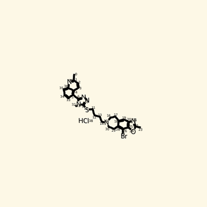 Cc1ccc2c(-c3nnc(SCCCCN4CCc5cc6nc(C)oc6c(Br)c5CC4)n3C)cccc2n1.Cl